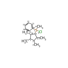 CC1C(C)C(C)C(S(C)(Cl)c2ccccc2)C1C